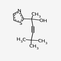 CC(C)(C)C#CC(C)(O)c1nccs1